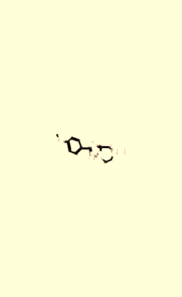 COc1ccc(-c2nc3n(n2)CCNC3)cc1